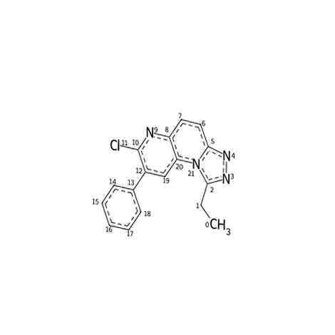 CCc1nnc2ccc3nc(Cl)c(-c4ccccc4)cc3n12